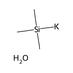 C[Si](C)(C)[K].O